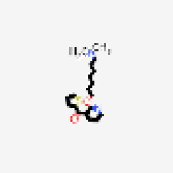 CN(C)CCCCCCCOc1ncccc1C(=O)c1cccs1